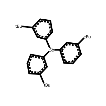 CC(C)(C)c1ccc[c]([Sb]([c]2cccc(C(C)(C)C)c2)[c]2cccc(C(C)(C)C)c2)c1